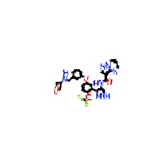 O=C(Nc1c[nH]nc1-c1cc(Oc2cccc(CNC3COC3)c2)ccc1OC(F)F)c1cnn2cccnc12